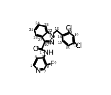 O=C(Nc1ccncc1F)c1nn(Cc2ccc(Cl)cc2Cl)c2ccccc12